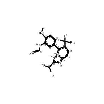 CNc1ccc(-c2c(C(F)(F)F)ccc3nc(C(F)F)nn23)cc1SC=O